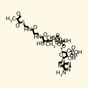 C[C@@H](C=O)C(=O)SCCNC(=O)CCNC(=O)[C@H](O)C(C)(C)COP(=O)(O)OP(=O)(O)OC[C@H]1O[C@@H](n2cnc3c(N)ncnc32)[C@H](O)[C@@H]1OP(=O)(O)O